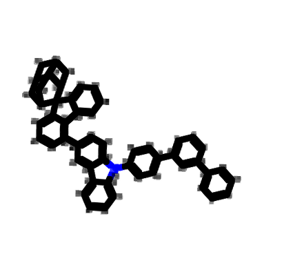 c1ccc(-c2cccc(-c3ccc(-n4c5ccccc5c5cc(-c6cccc7c6-c6ccccc6C76C7CC8CC(C7)CC6C8)ccc54)cc3)c2)cc1